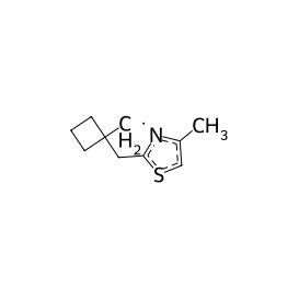 [CH2]C1(Cc2nc(C)cs2)CCC1